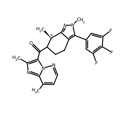 Cc1nc2c(C)ccnn2c1C(=O)C1CCc2c(nn(C)c2-c2cc(F)c(F)c(F)c2)[C@@H]1C